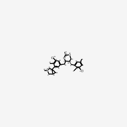 Cc1cc(Cl)c(C)c(C[C@@H]2CO[C@H](C)OC2Cc2cc(Cl)c(C)c(C34CC3CN(C)C4)c2)c1